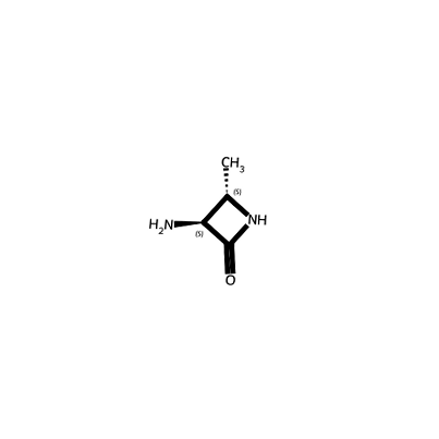 C[C@@H]1NC(=O)[C@H]1N